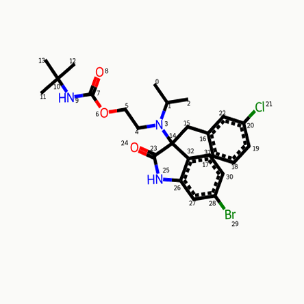 CC(C)N(CCOC(=O)NC(C)(C)C)C1(Cc2cccc(Cl)c2)C(=O)Nc2cc(Br)ccc21